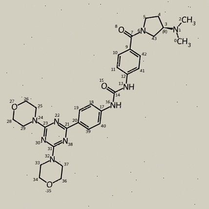 CN(C)[C@@H]1CCN(C(=O)c2ccc(NC(=O)Nc3ccc(-c4nc(N5CCOCC5)nc(N5CCOCC5)n4)cc3)cc2)C1